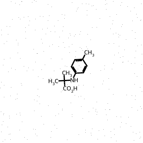 Cc1ccc(NC(C)(C)C(=O)O)cc1